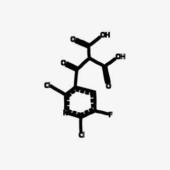 O=C(O)C(C(=O)O)C(=O)c1cc(F)c(Cl)nc1Cl